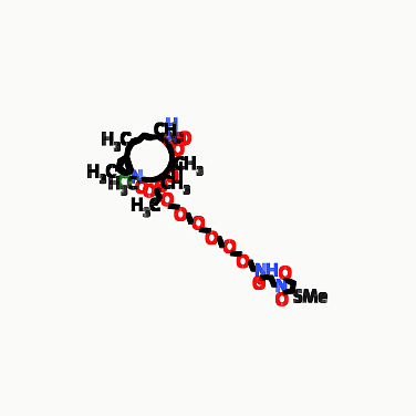 CSC1CC(=O)N(CCC(=O)NCCOCCOCCOCCOCCOCCO[C@@H](C)C(=O)O[C@H]2CC(=O)N(C)c3cc(cc(C)c3Cl)C/C(C)=C/C=C/[C@@H](C)[C@@]3(O)CC(OC(=O)N3)[C@@H](C)[C@@H]3O[C@@]23C)C1=O